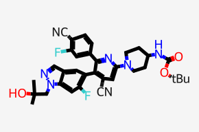 CC(C)(O)Cn1ncc2cc(-c3c(C#N)cc(N4CCC(NC(=O)OC(C)(C)C)CC4)nc3-c3ccc(C#N)c(F)c3)c(F)cc21